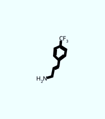 NCC=Cc1ccc(C(F)(F)F)cc1